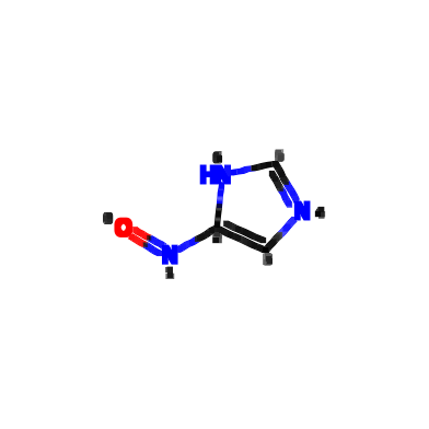 O=Nc1cnc[nH]1